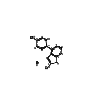 CCC1=Cc2c(cccc2-c2ccc(CC)cc2)[CH]1.[Zr]